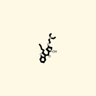 CCCCc1oc2ccccc2c1C(=O)c1cc(OCCN(CC)CC)cs1.Cl